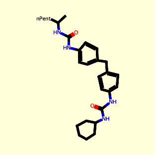 CCCCCC(C)NC(=O)Nc1ccc(Cc2ccc(NC(=O)NC3CCCCC3)cc2)cc1